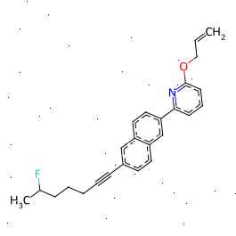 C=CCOc1cccc(-c2ccc3cc(C#CCCCC(C)F)ccc3c2)n1